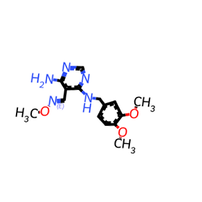 CO/N=C/c1c(N)ncnc1NCc1ccc(OC)c(OC)c1